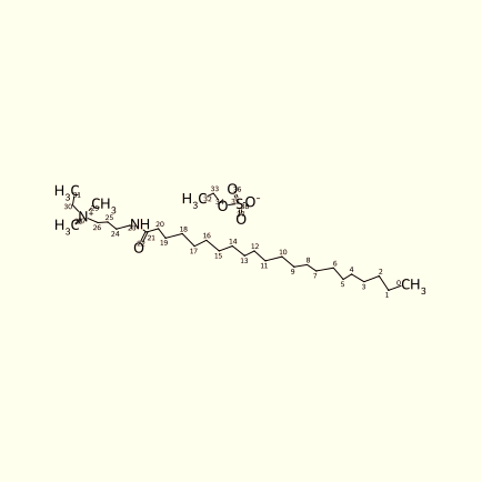 CCCCCCCCCCCCCCCCCCCCCC(=O)NCCC[N+](C)(C)CC.CCOS(=O)(=O)[O-]